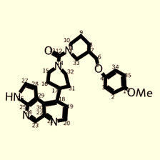 COc1ccc(OCC2CCCN(C(=O)N3CCC(c4ccnc5cnc6[nH]ccc6c45)CC3)C2)cc1